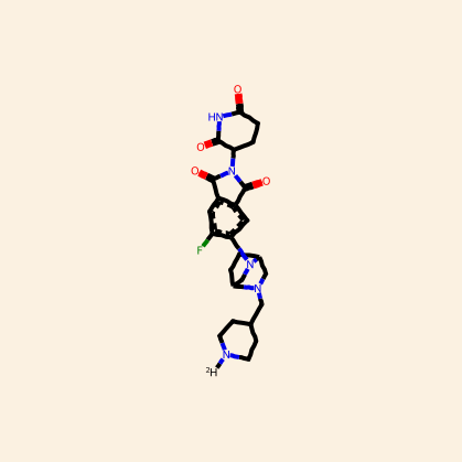 [2H]N1CCC(CN2CC3CCC2CN3c2cc3c(cc2F)C(=O)N(C2CCC(=O)NC2=O)C3=O)CC1